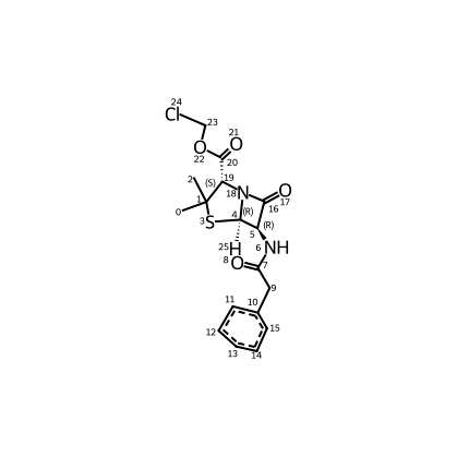 CC1(C)S[C@@H]2[C@H](NC(=O)Cc3ccccc3)C(=O)N2[C@H]1C(=O)OCCl